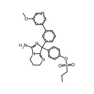 CCCS(=O)(=O)Oc1ccc(C2(c3cccc(-c4cncc(OC)c4)c3)N=C(N)N3CCCN=C32)cc1